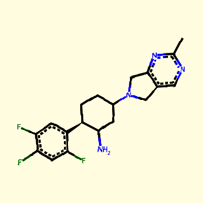 Cc1ncc2c(n1)CN(C1CC[C@H](c3cc(F)c(F)cc3F)C(N)C1)C2